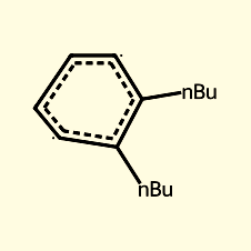 CCCCc1[c]cc[c]c1CCCC